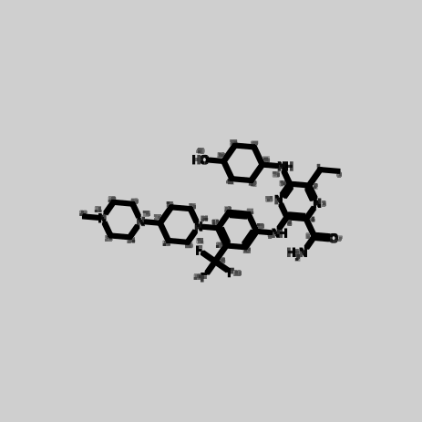 CCc1nc(C(N)=O)c(Nc2ccc(N3CCC(N4CCN(C)CC4)CC3)c(C(F)(F)F)c2)nc1NC1CCC(O)CC1